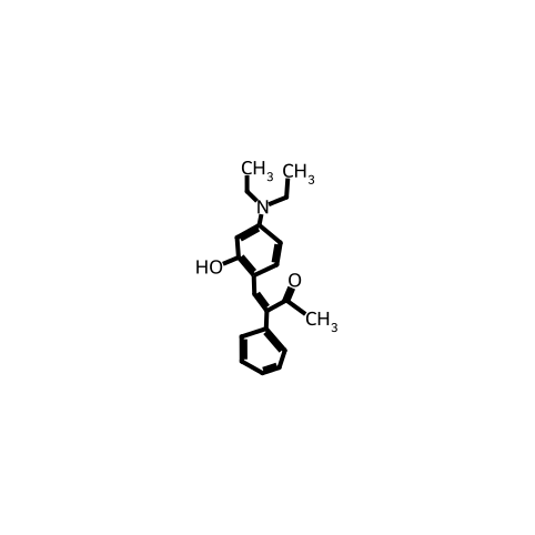 CCN(CC)c1ccc(C=C(C(C)=O)c2ccccc2)c(O)c1